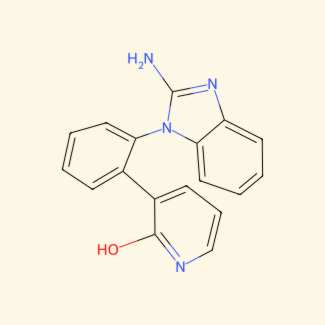 Nc1nc2ccccc2n1-c1ccccc1-c1cccnc1O